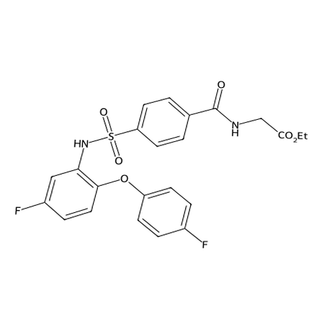 CCOC(=O)CNC(=O)c1ccc(S(=O)(=O)Nc2cc(F)ccc2Oc2ccc(F)cc2)cc1